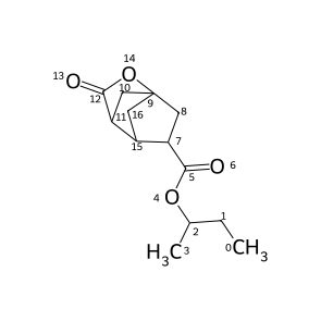 CCC(C)OC(=O)C1CC23CC(C(=O)O2)C1C3